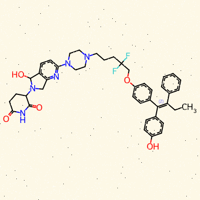 CC/C(=C(\c1ccc(O)cc1)c1ccc(OCC(F)(F)CCCN2CCN(c3ccc4c(n3)CN(C3CCC(=O)NC3=O)C4O)CC2)cc1)c1ccccc1